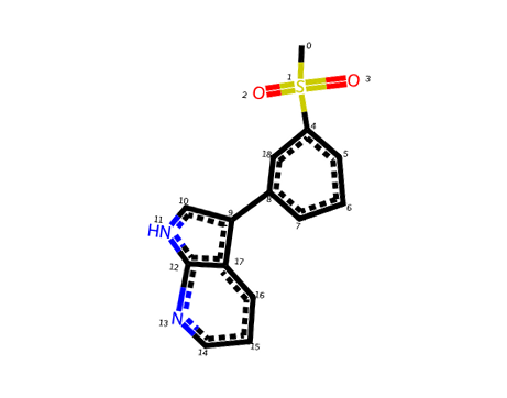 CS(=O)(=O)c1cc[c]c(-c2c[nH]c3ncccc23)c1